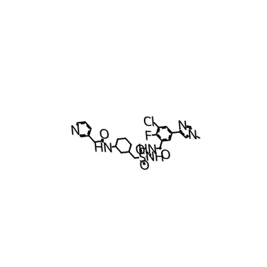 Cn1cnc(-c2cc(Cl)c(F)c(C(=O)NNS(=O)(=O)CC3CCCC(NC(=O)Cc4cccnc4)C3)c2)c1